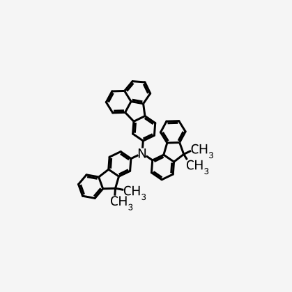 CC1(C)c2ccccc2-c2ccc(N(c3ccc4c(c3)-c3cccc5cccc-4c35)c3cccc4c3-c3ccccc3C4(C)C)cc21